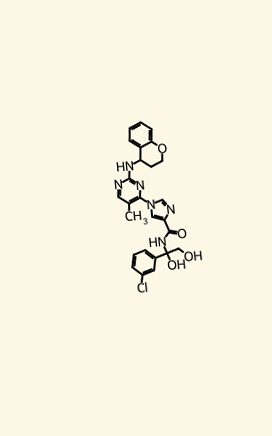 Cc1cnc(NC2CCOc3ccccc32)nc1-n1cnc(C(=O)NC(O)(CO)c2cccc(Cl)c2)c1